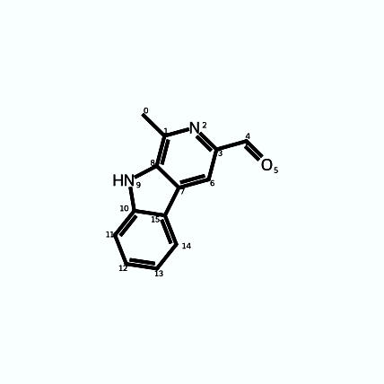 Cc1nc([C]=O)cc2c1[nH]c1ccccc12